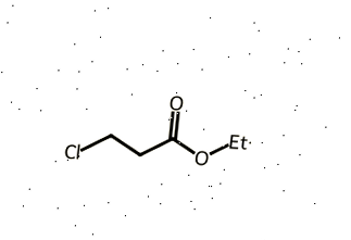 C[CH]OC(=O)CCCl